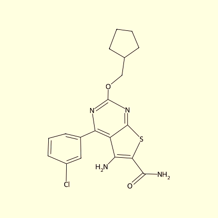 NC(=O)c1sc2nc(OCC3CCCC3)nc(-c3cccc(Cl)c3)c2c1N